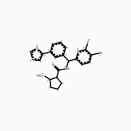 CC(C)c1ccc(C(NC(=O)C2CCCC2C(=O)O)c2cccc(-c3cnco3)c2)nc1F